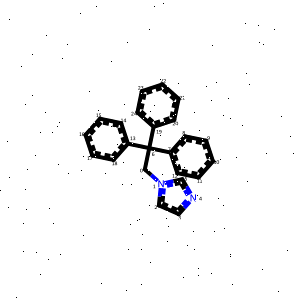 [CH](n1ccnc1)C(c1ccccc1)(c1ccccc1)c1ccccc1